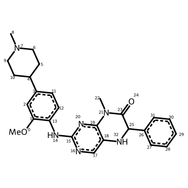 COc1cc(C2CCN(C)CC2)ccc1Nc1ncc2c(n1)N(C)C(=O)C(c1ccccc1)N2